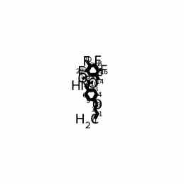 C=CCOc1ccc(NS(=O)(=O)c2c(F)c(F)c(F)c(F)c2F)cc1